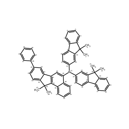 CC1(C)c2ccccc2-c2ccc(N(c3ccc4c(c3)C(C)(C)c3ccccc3-4)c3cc4c(c5ccccc35)C(C)(C)c3ccc(-c5ccccc5)cc3-4)cc21